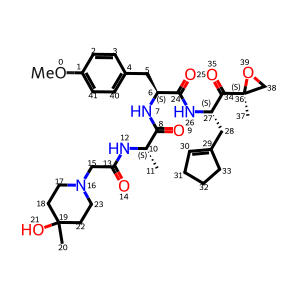 COc1ccc(C[C@H](NC(=O)[C@H](C)NC(=O)CN2CCC(C)(O)CC2)C(=O)N[C@@H](CC2=CCCC2)C(=O)[C@]2(C)CO2)cc1